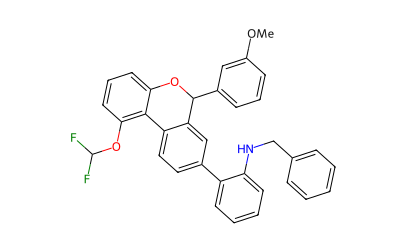 COc1cccc(C2Oc3cccc(OC(F)F)c3-c3ccc(-c4ccccc4NCc4ccccc4)cc32)c1